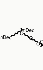 C=C(C)C(=O)OCCCCOCCCCOC(CCCCCCCCCCCCCCC)C(C)CCCCCCCCCC